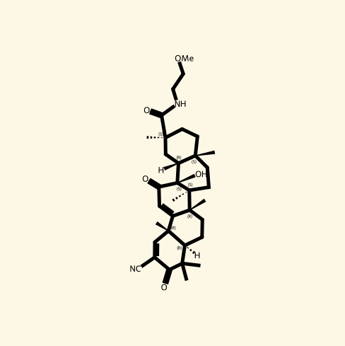 COCCNC(=O)[C@@]1(C)CC[C@]2(C)CC[C@@]3(C)[C@]4(C)CC[C@H]5C(C)(C)C(=O)C(C#N)=C[C@]5(C)C4=CC(=O)[C@]3(O)[C@@H]2C1